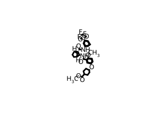 COC(=O)C1CCC(Oc2ccc(OC)c(C(=O)N[C@@H]3[C@H]4CC[C@H](C4)[C@@H]3C(=O)Nc3cccc(S(=O)(=O)C(F)(F)F)c3)c2)CC1